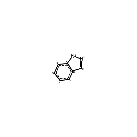 C1=N[N]c2ccccc21